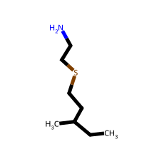 CCC(C)CCSCCN